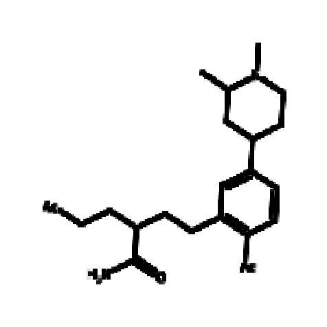 CC(=O)CCC(CCc1cc(C2CCN(C)C(C)C2)ccc1C(C)=O)C(N)=O